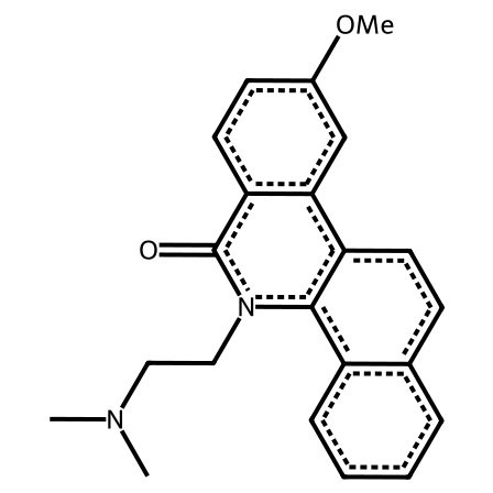 COc1ccc2c(=O)n(CCN(C)C)c3c4ccccc4ccc3c2c1